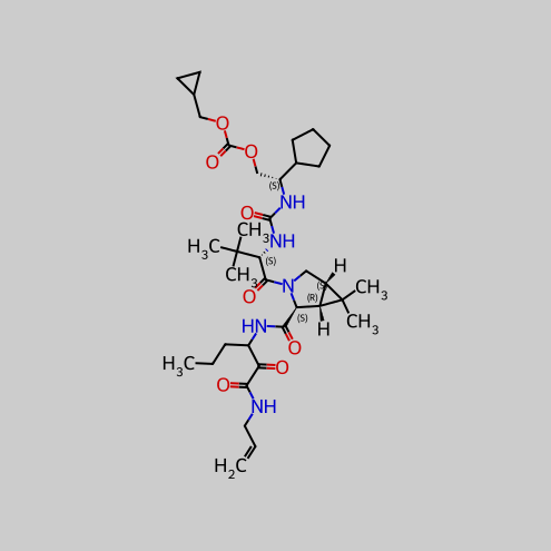 C=CCNC(=O)C(=O)C(CCC)NC(=O)[C@@H]1[C@@H]2[C@H](CN1C(=O)[C@@H](NC(=O)N[C@H](COC(=O)OCC1CC1)C1CCCC1)C(C)(C)C)C2(C)C